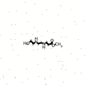 COC(=O)CCNCCNCCO